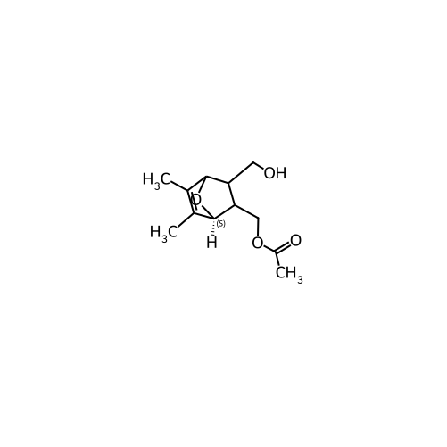 CC(=O)OCC1C(CO)C2O[C@@H]1C(C)=C2C